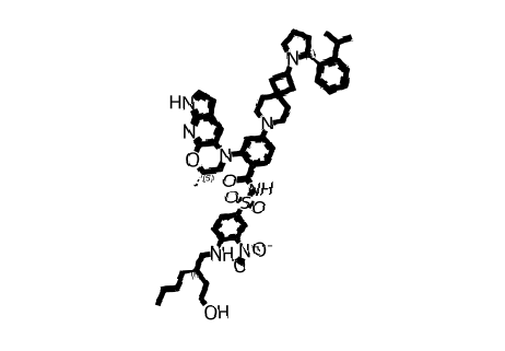 CCCC[C@H](CCO)CNc1ccc(S(=O)(=O)NC(=O)c2ccc(N3CCC4(CC3)CC(N3CCC[C@H]3c3ccccc3C(C)C)C4)cc2N2C[C@H](C)Oc3nc4[nH]ccc4cc32)cc1[N+](=O)[O-]